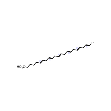 CC/C=C/C/C=C/C/C=C/C/C=C/C/C=C/C/C=C/CCCCC(=O)O